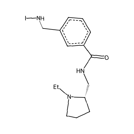 CCN1CCC[C@H]1CNC(=O)c1cccc(CNI)c1